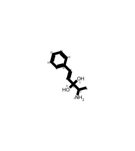 CC(N)C(O)(O)C=Cc1ccccc1